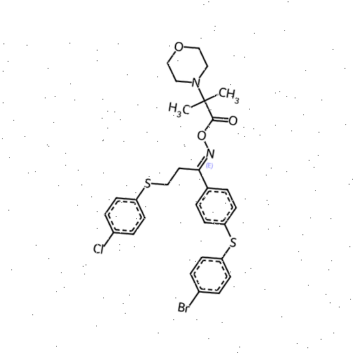 CC(C)(C(=O)O/N=C(\CCSc1ccc(Cl)cc1)c1ccc(Sc2ccc(Br)cc2)cc1)N1CCOCC1